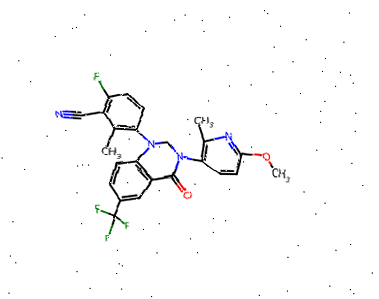 COc1ccc(N2CN(c3ccc(F)c(C#N)c3C)c3ccc(C(F)(F)F)cc3C2=O)c(C)n1